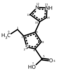 CCc1sc(C(=O)O)cc1-c1cn[nH]c1